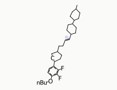 CCCCOc1ccc(C2CCC(CC/C=C/C3CCC(C4CCC(C)CC4)CC3)CC2)c(F)c1F